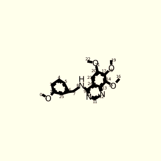 COc1cccc(CNc2ncnc3c(OC)c(OC)c(OC)cc23)c1